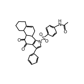 CC(=O)Nc1ccc(S(=O)(=O)n2cc(-c3ccccc3)c3c2C2CC=C4CCCCC4C2C(=O)C3=O)cc1